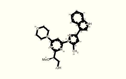 CO[C@H](CO)c1nc(N2CCOCC2)cc(-n2nc(-c3c[nH]c4ccccc34)cc2C)n1